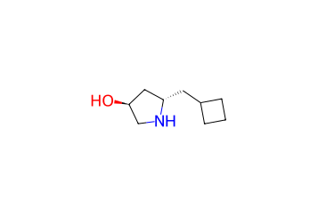 O[C@@H]1CN[C@@H](CC2CCC2)C1